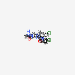 Cc1cc(Cl)ccc1C1c2c(nn(CC3CCN(C(=O)NC(C)C)CC3)c2C(C)C)C(=O)N1c1cc(Cl)ccc1C